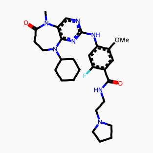 COc1cc(C(=O)NCCN2CCCC2)c(F)cc1Nc1ncc2c(n1)N(C1CCCCC1)CCC(=O)N2C